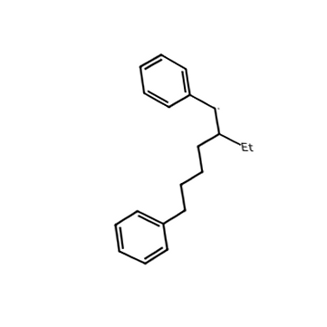 CCC([CH]c1ccccc1)CCCCc1ccccc1